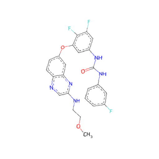 COCCNc1cnc2ccc(Oc3cc(NC(=O)Nc4cccc(F)c4)cc(F)c3F)cc2n1